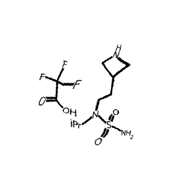 CC(C)N(CCC1CNC1)S(N)(=O)=O.O=C(O)C(F)(F)F